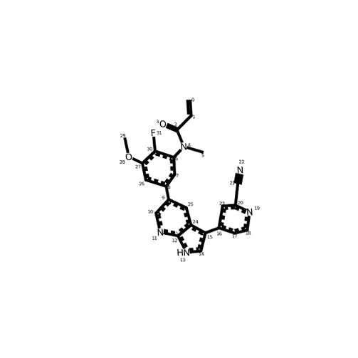 C=CC(=O)N(C)c1cc(-c2cnc3[nH]cc(-c4ccnc(C#N)c4)c3c2)cc(OC)c1F